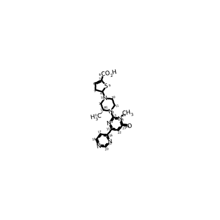 C[C@@H]1CN(C2CC=C(C(=O)O)S2)CCN1c1nc(-c2ccncn2)cc(=O)n1C